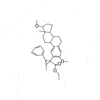 CCOC(=O)C1(c2cc3c(cc2OC)CCC2C3CCC3(C)C(OC)CCC23)C(C)=C1c1ccccc1